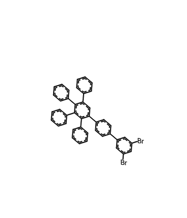 Brc1cc(Br)cc(-c2ccc(-c3cc(-c4ccccc4)c(-c4ccccc4)c(-c4ccccc4)c3-c3ccccc3)cc2)c1